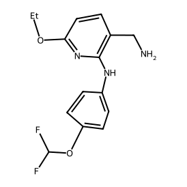 CCOc1ccc(CN)c(Nc2ccc(OC(F)F)cc2)n1